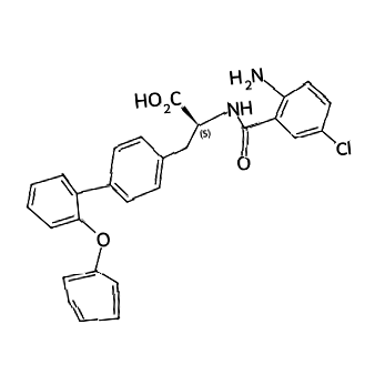 Nc1ccc(Cl)cc1C(=O)N[C@@H](Cc1ccc(-c2ccccc2Oc2ccccc2)cc1)C(=O)O